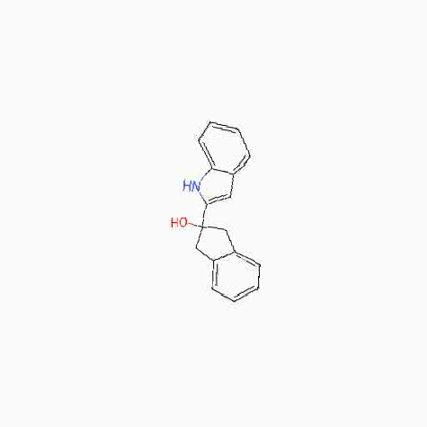 OC1(c2cc3ccccc3[nH]2)Cc2ccccc2C1